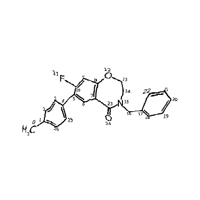 Cc1ccc(-c2cc3c(cc2F)OCCN(Cc2ccccc2)C3=O)cc1